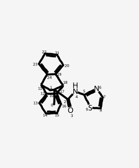 CC1(C(=O)Nc2nccs2)CC2c3ccccc3C1c1ccccc12